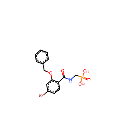 O=C(NCP(=O)(O)O)c1ccc(Br)cc1OCc1ccccc1